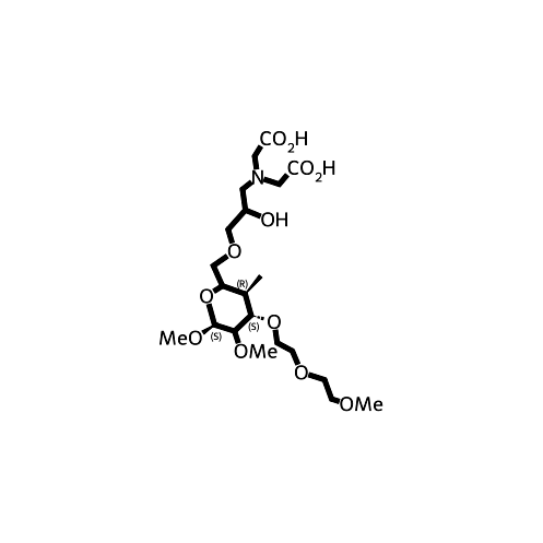 COCCOCCO[C@@H]1C(OC)[C@@H](OC)OC(COCC(O)CN(CC(=O)O)CC(=O)O)[C@H]1C